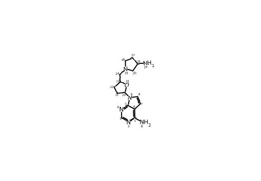 Nc1ncnc2c1ccn2C1CCC(CN2CCC(N)C2)O1